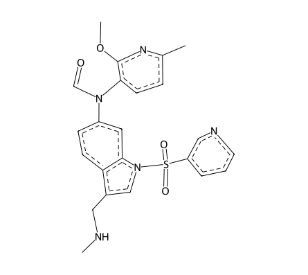 CNCc1cn(S(=O)(=O)c2cccnc2)c2cc(N(C=O)c3ccc(C)nc3OC)ccc12